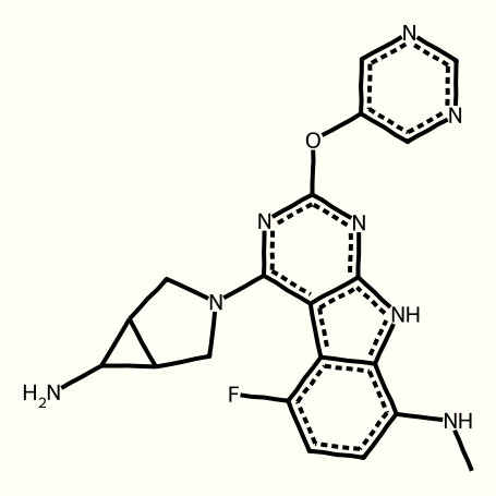 CNc1ccc(F)c2c1[nH]c1nc(Oc3cncnc3)nc(N3CC4C(N)C4C3)c12